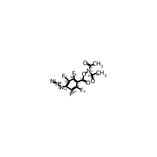 CC(=O)N(OC(=O)c1c(F)c(F)c(N=[N+]=[N-])c(F)c1F)C(C)=O